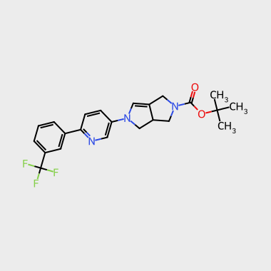 CC(C)(C)OC(=O)N1CC2=CN(c3ccc(-c4cccc(C(F)(F)F)c4)nc3)CC2C1